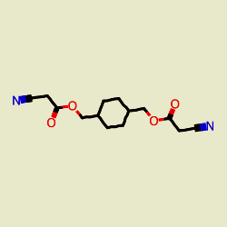 N#CCC(=O)OCC1CCC(COC(=O)CC#N)CC1